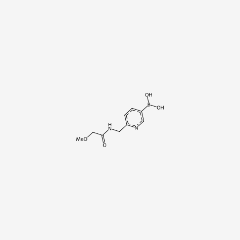 COCC(=O)NCc1ccc(B(O)O)cn1